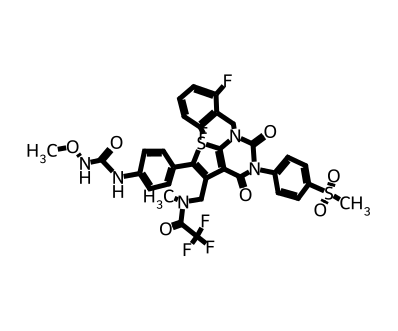 CONC(=O)Nc1ccc(-c2sc3c(c2CN(C)C(=O)C(F)(F)F)c(=O)n(-c2ccc(S(C)(=O)=O)cc2)c(=O)n3Cc2c(F)cccc2F)cc1